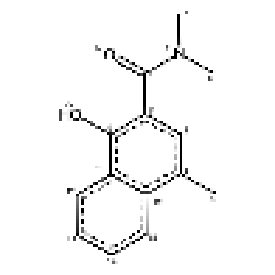 Cc1cc(C(=O)N(C)C)c(O)c2ccccc12